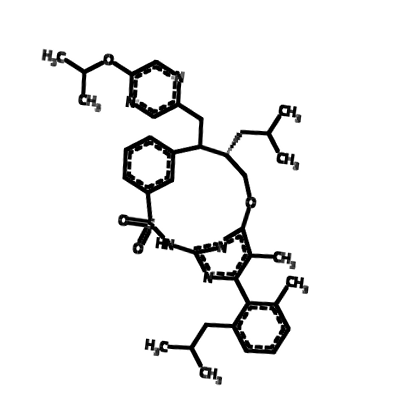 Cc1cccc(CC(C)C)c1-c1nc2nc(c1C)OC[C@@H](CC(C)C)C(Cc1cnc(OC(C)C)cn1)c1cccc(c1)S(=O)(=O)N2